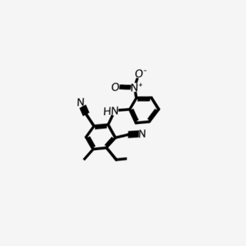 CCc1c(C)cc(C#N)c(Nc2ccccc2[N+](=O)[O-])c1C#N